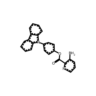 Bc1cccnc1C(=O)Oc1ccc(-n2c3ccccc3c3ccccc32)cc1